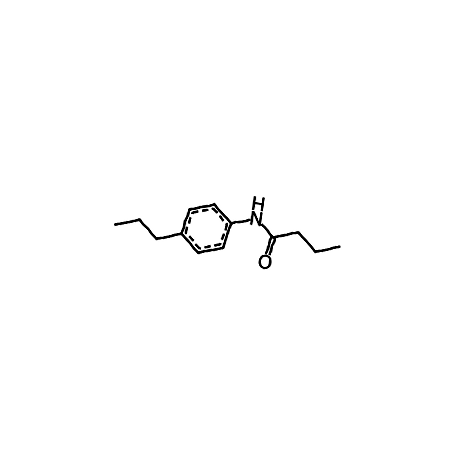 CCCC(=O)Nc1ccc(CCC)cc1